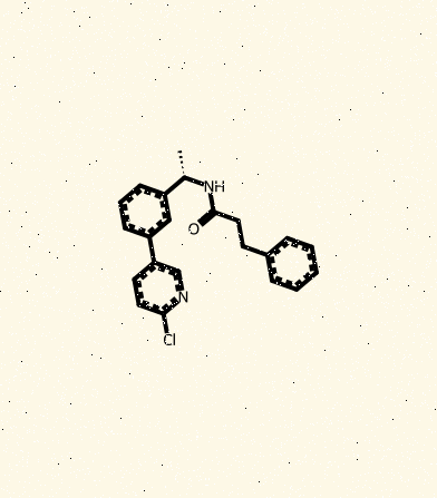 C[C@H](NC(=O)CCc1ccccc1)c1cccc(-c2ccc(Cl)nc2)c1